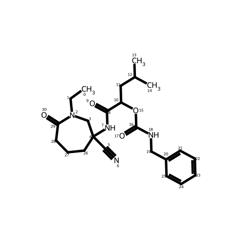 CCN1CC(C#N)(NC(=O)C(CC(C)C)OC(=O)NCc2ccccc2)CCCC1=O